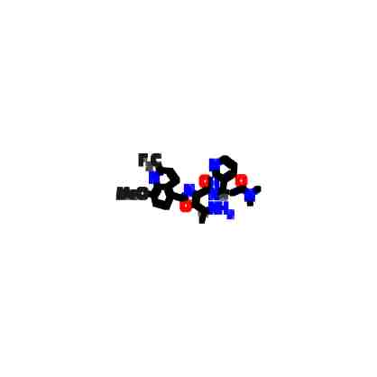 COc1ccc(-c2nc(C(=O)N[C@@H](CC(=O)N(C)C)c3cccnc3)c([C@H](C)N)o2)c2ccc(C(F)(F)F)nc12